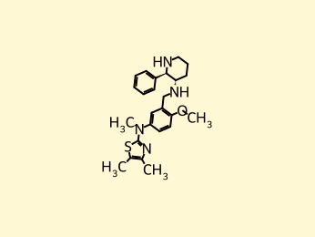 COc1ccc(N(C)c2nc(C)c(C)s2)cc1CN[C@H]1CCCN[C@@H]1c1ccccc1